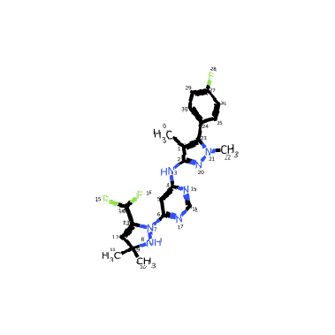 Cc1c(Nc2cc(N3NC(C)(C)C=C3C(F)F)ncn2)nn(C)c1-c1ccc(F)cc1